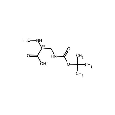 CN[C@@H](CNC(=O)OC(C)(C)C)C(=O)O